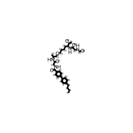 CCCCc1ccc(-c2ccc(C(=O)NCC(=O)NC(C)COCCCCC(NC(=O)CNC=O)C(C)=O)cc2)cc1